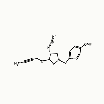 CC#CCO[C@@H]1CN(Cc2ccc(OC)cc2)C[C@H]1N=[N+]=[N-]